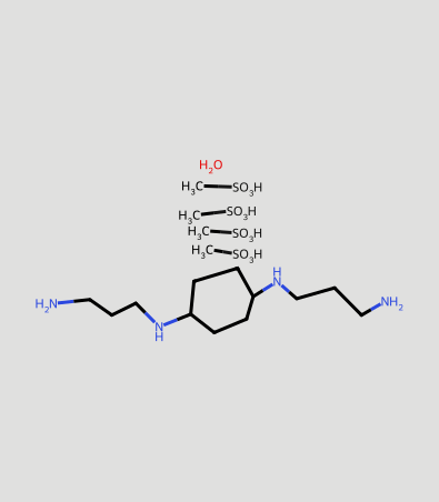 CS(=O)(=O)O.CS(=O)(=O)O.CS(=O)(=O)O.CS(=O)(=O)O.NCCCNC1CCC(NCCCN)CC1.O